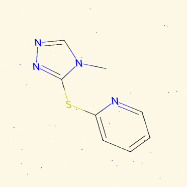 Cn1cnnc1Sc1ccccn1